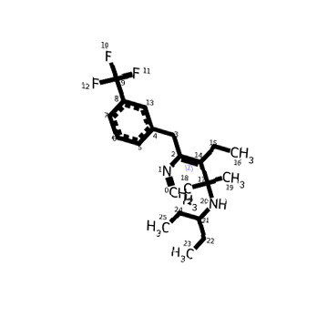 C=N/C(Cc1cccc(C(F)(F)F)c1)=C(/CC)C(C)(C)NC(CC)CC